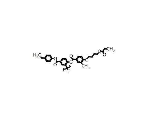 C=CC(=O)OCCCCOc1ccc(C(=O)Oc2ccc(C(=O)Oc3ccc(CC)cc3)cc2C(F)(F)F)cc1C